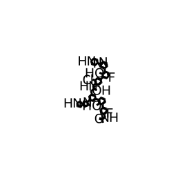 CC(=O)Nc1ccc(-c2cccc(-c3cc(CC(O)Nc4ccc(-c5cc(F)cc(-c6ccnc(N7CCNCC7)c6)c5O)cc4Cl)cc(N4CCC5(CCNC5)C4)c3)c2O)cc1F